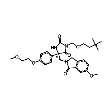 COCCOc1ccc([C@]2(CN3Cc4ccc(OC)cc4C3=O)NC(=O)N(COCC[Si](C)(C)C)C2=O)cc1